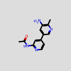 CC(=O)Nc1cc(-c2cnc(C)c(N)c2)ccn1